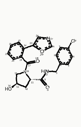 O=C(NCc1ccc(Cl)cc1)[C@@H]1C[C@@H](O)CN1C(=O)c1ccccc1-c1cnco1